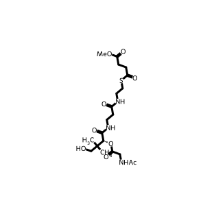 COC(=O)CCC(=O)SCCNC(=O)CCNC(=O)[C@H](OC(=O)CNC(C)=O)C(C)(C)CO